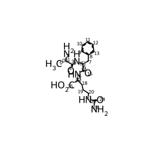 C[C@H](N)C(=O)N[C@@H](Cc1ccccc1)C(=O)N[C@@H](CCCNC(N)=O)C(=O)O